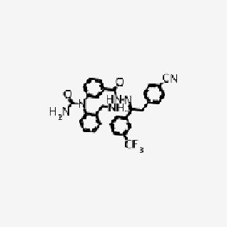 N#Cc1ccc(CC(=NNC(=O)c2cccc(N(C(N)=O)c3ccccc3CN)c2)c2cccc(C(F)(F)F)c2)cc1